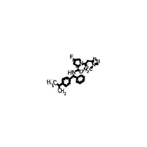 CC(C)c1ccc([C@@H](NC(=O)[C@H]2C[C@@H](F)CN2C(=O)Cc2nncn2C)c2ccccc2)cc1